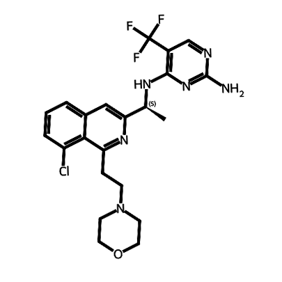 C[C@H](Nc1nc(N)ncc1C(F)(F)F)c1cc2cccc(Cl)c2c(CCN2CCOCC2)n1